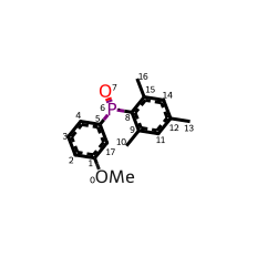 COc1cccc([P](=O)c2c(C)cc(C)cc2C)c1